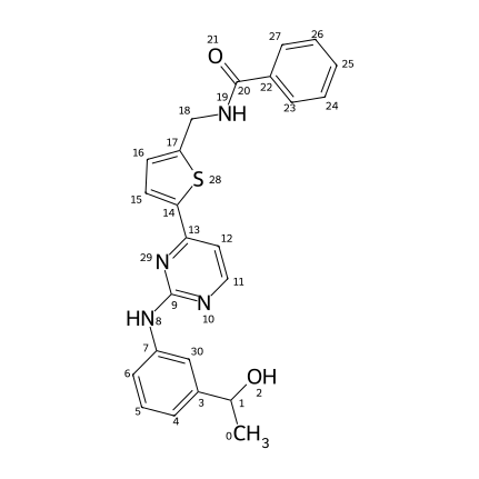 CC(O)c1cccc(Nc2nccc(-c3ccc(CNC(=O)c4ccccc4)s3)n2)c1